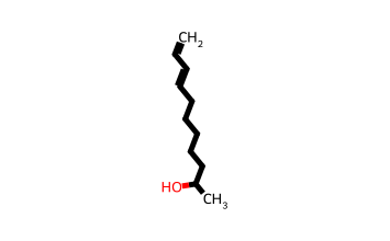 C=C/C=C/CCCCCC(C)O